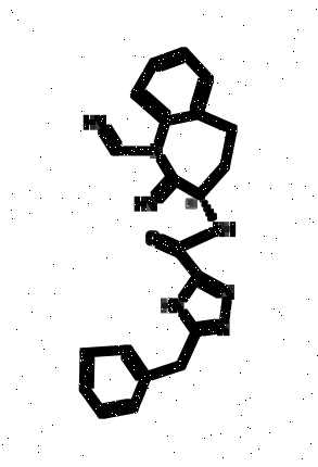 N=CN1C(=N)[C@@H](NC(=O)c2nnc(Cc3ccccc3)[nH]2)CCc2ccccc21